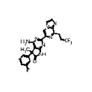 CC1(c2cccc(F)c2)C(=O)Nc2nc(-c3cn4ccnc4c(CCC(F)(F)F)n3)nc(N)c21